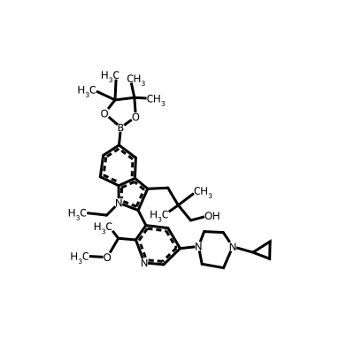 CCn1c(-c2cc(N3CCN(C4CC4)CC3)cnc2C(C)OC)c(CC(C)(C)CO)c2cc(B3OC(C)(C)C(C)(C)O3)ccc21